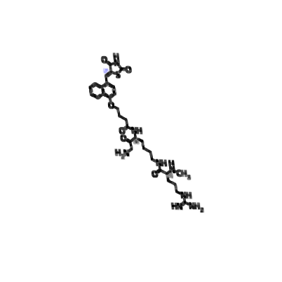 CN[C@@H](CCCNC(=N)N)C(=O)NCCCC[C@H](NC(=O)CCCOc1ccc(/C=C2\SC(=O)NC2=O)c2ccccc12)C(=O)CN